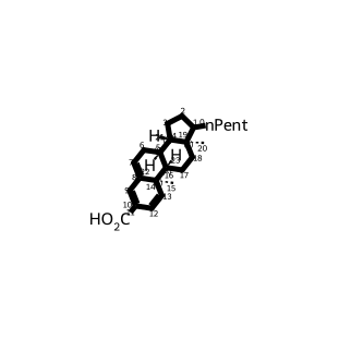 CCCCCC1CC[C@H]2[C@@H]3CC=C4C=C(C(=O)O)C=C[C@]4(C)[C@@H]3CC[C@]12C